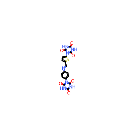 O=c1[nH]c(=O)n(-c2ccc(/N=C/c3ccc(-n4c(=O)[nH]c(=O)[nH]c4=O)s3)cc2)c(=O)[nH]1